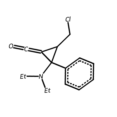 CCN(CC)C1(c2ccccc2)C(=C=O)C1CCl